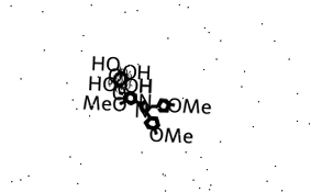 COc1ccc(-c2nc(-c3ccc(O[C@@H]4[C@@H](O)[C@@H](O)[C@@H](CO)O[C@H]4O)c(OC)c3)[nH]c2-c2ccc(OC)cc2)cc1